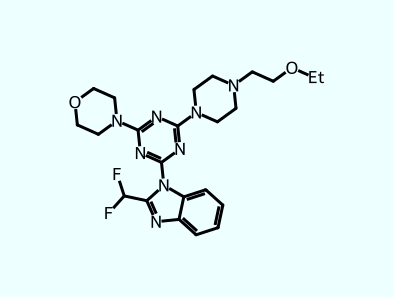 CCOCCN1CCN(c2nc(N3CCOCC3)nc(-n3c(C(F)F)nc4ccccc43)n2)CC1